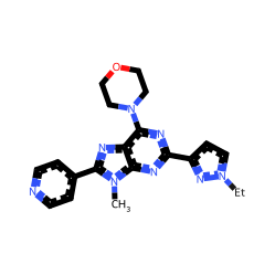 CCn1ccc(-c2nc(N3CCOCC3)c3nc(-c4ccncc4)n(C)c3n2)n1